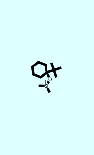 C[SiH](C)OC1(C(C)(C)C)CCCCC1